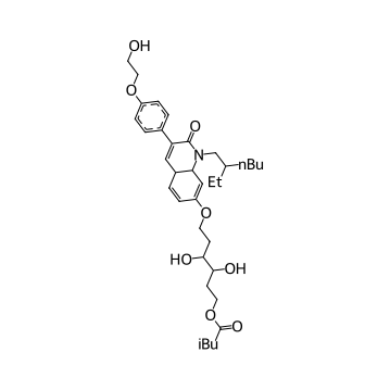 CCCCC(CC)CN1C(=O)C(c2ccc(OCCO)cc2)=CC2C=CC(OCCC(O)C(O)CCOC(=O)C(C)CC)=CC21